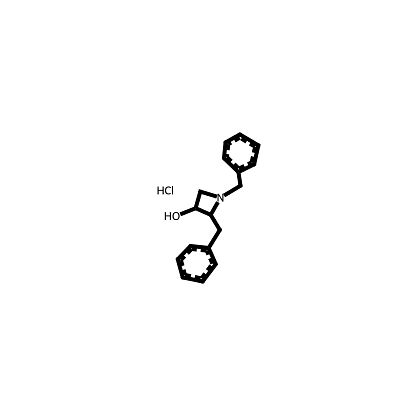 Cl.OC1CN(Cc2ccccc2)C1Cc1ccccc1